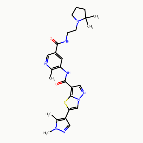 Cc1ncc(C(=O)NCCN2CCCC2(C)C)cc1NC(=O)c1cnn2cc(-c3cnn(C)c3C)sc12